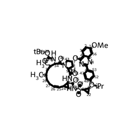 COc1ccc2c(O[C@@H]3C[C@H]4C(=O)N[C@]5(C(=O)NS(=O)(=O)C6CC6)CC5/C=C\CC[C@H](C)C[C@@H](C)[C@H](NC(=O)OC(C)(C)C)C(=O)N4C3)nc(-c3ccc(OC(C)C)cc3)nc2c1